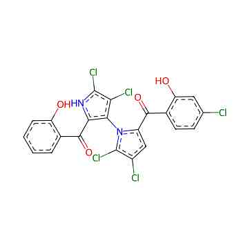 O=C(c1ccccc1O)c1[nH]c(Cl)c(Cl)c1-n1c(C(=O)c2ccc(Cl)cc2O)cc(Cl)c1Cl